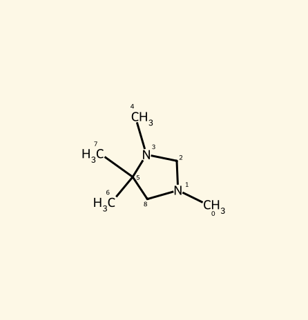 CN1CN(C)C(C)(C)C1